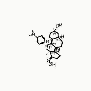 CN(C)c1ccc([C@H]2C[C@]3(C)C(=NO)CC[C@H]3[C@@H]3CC[C@H]4C[C@](C)(O)CC[C@@H]4[C@H]32)cc1